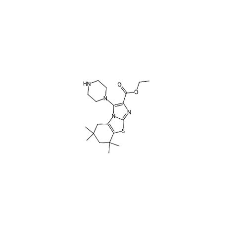 CCOC(=O)c1nc2sc3c(n2c1N1CCNCC1)CC(C)(C)CC3(C)C